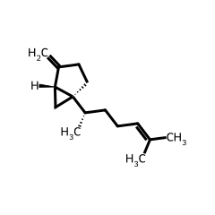 C=C1CC[C@]2([C@@H](C)CCC=C(C)C)C[C@H]12